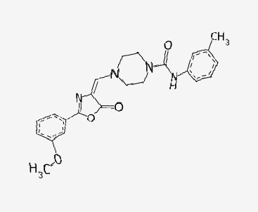 COc1cccc(C2=NC(=CN3CCN(C(=O)Nc4cccc(C)c4)CC3)C(=O)O2)c1